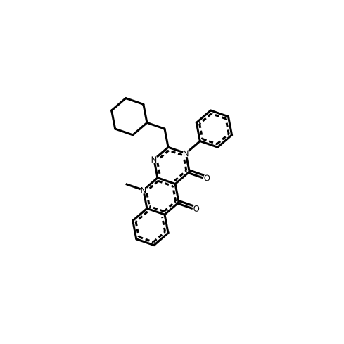 Cn1c2ccccc2c(=O)c2c(=O)n(-c3ccccc3)c(CC3CCCCC3)nc21